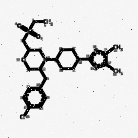 CCS(=O)(=O)CC1CN(C2CCC(c3nc(C)c(C)s3)CC2)C(Cc2ccc(Cl)cc2)CO1